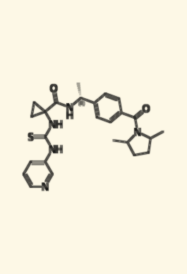 CC1CCC(C)N1C(=O)c1ccc([C@@H](C)NC(=O)C2(NC(=S)Nc3cccnc3)CC2)cc1